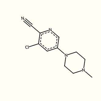 CN1CCN(c2cnc(C#N)c(Cl)c2)CC1